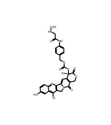 CCc1c2c(nc3ccc(O)cc13)-c1cc3c(c(=O)n1C2)COC(=O)[C@@]3(CC)OC(=O)OCc1ccc(NC(=O)CNC=O)cc1